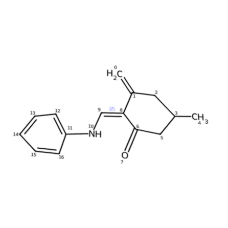 C=C1CC(C)CC(=O)/C1=C\Nc1ccccc1